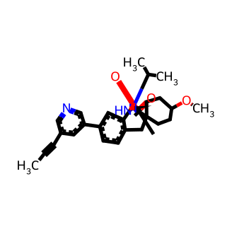 CC#Cc1cncc(-c2ccc3c(c2)C2(NC(=O)N(C(C)C)C2=O)C2(CCC(OC)CC2)C3)c1